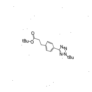 CC(C)(C)OC(=O)CCc1ccc(-c2nnn(C(C)(C)C)n2)cc1